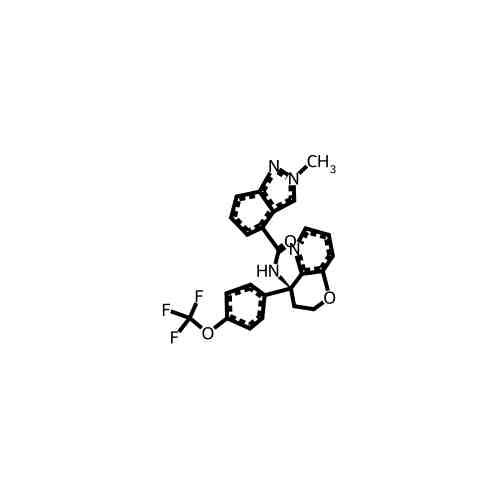 Cn1cc2c(C(=O)N[C@]3(c4ccc(OC(F)(F)F)cc4)CCOc4cccnc43)cccc2n1